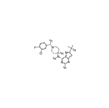 [2H]c1nc(N([2H])C2([2H])CCN(C([2H])c3ccc(F)c(Cl)c3)CC2)c2nc(C([2H])(C)C)sc2n1